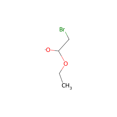 CCOC([O])CBr